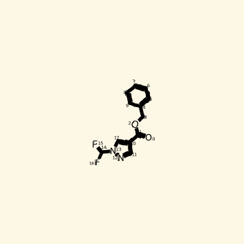 O=C(OCc1ccccc1)c1cnn(C(F)F)c1